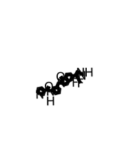 O=C(Nc1cccc(Cn2ccc3cc(-c4c[nH]nc4C(F)F)ccc3c2=O)c1)c1cccnc1